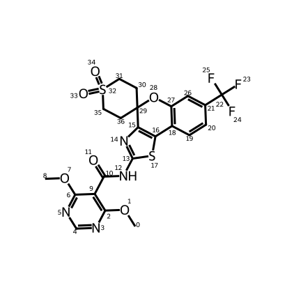 COc1ncnc(OC)c1C(=O)Nc1nc2c(s1)-c1ccc(C(F)(F)F)cc1OC21CCS(=O)(=O)CC1